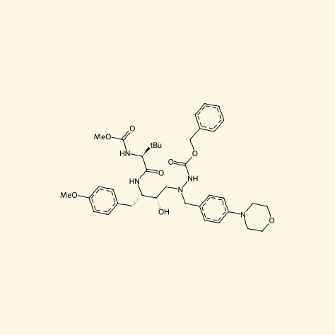 COC(=O)N[C@H](C(=O)N[C@@H](Cc1ccc(OC)cc1)[C@@H](O)CN(Cc1ccc(N2CCOCC2)cc1)NC(=O)OCc1ccccc1)C(C)(C)C